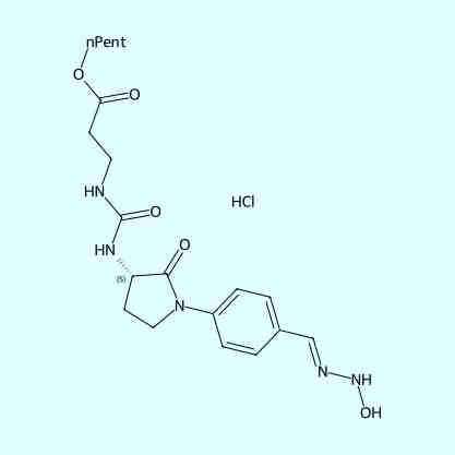 CCCCCOC(=O)CCNC(=O)N[C@H]1CCN(c2ccc(C=NNO)cc2)C1=O.Cl